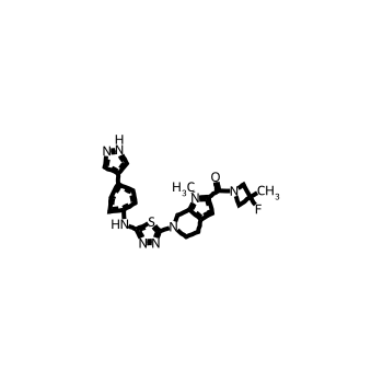 Cn1c(C(=O)N2CC(C)(F)C2)cc2c1CN(c1nnc(Nc3ccc(-c4cn[nH]c4)cc3)s1)CC2